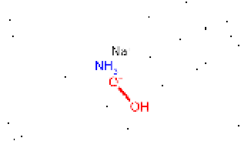 N.[Na+].[O-]O